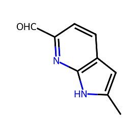 Cc1cc2ccc(C=O)nc2[nH]1